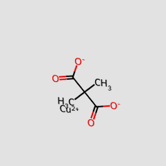 CC(C)(C(=O)[O-])C(=O)[O-].[Cu+2]